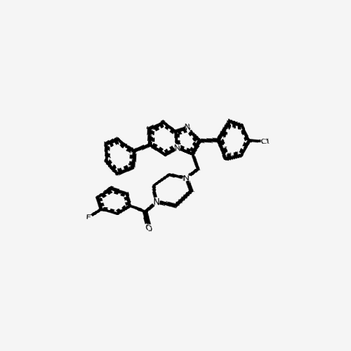 O=C(c1cccc(F)c1)N1CCN(Cc2c(-c3ccc(Cl)cc3)nc3ccc(-c4ccccc4)cn23)CC1